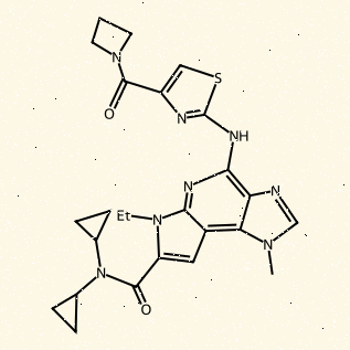 CCn1c(C(=O)N(C2CC2)C2CC2)cc2c3c(ncn3C)c(Nc3nc(C(=O)N4CCC4)cs3)nc21